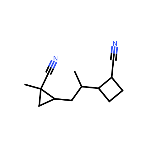 CC(CC1CC1(C)C#N)C1CCC1C#N